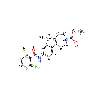 CCOC(=O)C1=C(c2ccc(NC(=O)c3c(F)cccc3F)cc2)CCN(C(=O)OC(C)(C)C)CC1